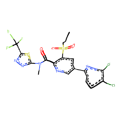 CCS(=O)(=O)c1cc(-c2ccc(Cl)c(Cl)n2)cnc1C(=O)N(C)c1nnc(C(F)(F)F)s1